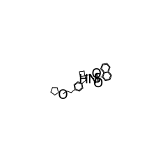 O=S(=O)(NCC1(Cc2ccc(CCOC3CCCC3)cc2)CCC1)c1cccc2ccccc12